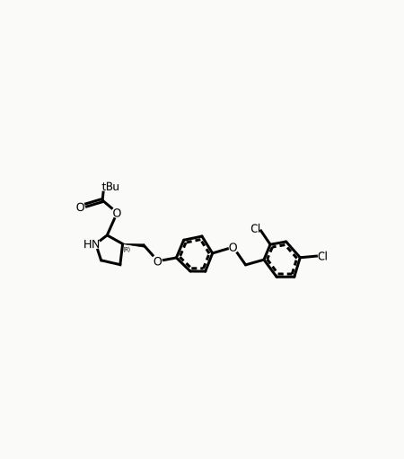 CC(C)(C)C(=O)OC1NCC[C@@H]1COc1ccc(OCc2ccc(Cl)cc2Cl)cc1